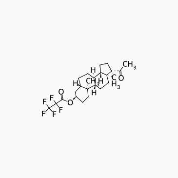 CC(=O)[C@H]1CC[C@H]2[C@@H]3CC[C@H]4C[C@H](OC(=O)C(F)(F)C(F)(F)F)CC[C@]4(C)[C@H]3CC[C@]12C